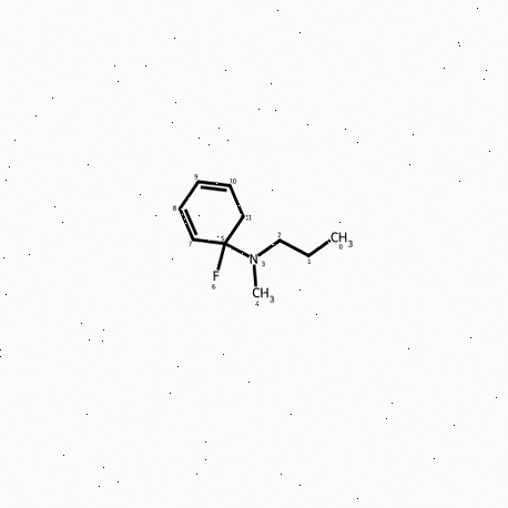 CCCN(C)C1(F)C=CC=CC1